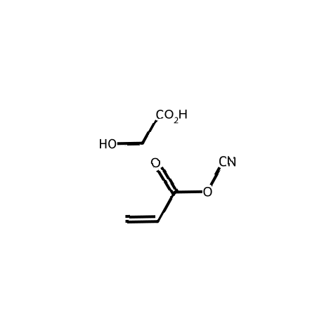 C=CC(=O)OC#N.O=C(O)CO